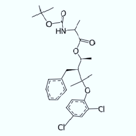 CC(NC(=O)OC(C)(C)C)C(=O)O[C@@H](C)[C@H](Cc1ccccc1)C(C)(C)Oc1ccc(Cl)cc1Cl